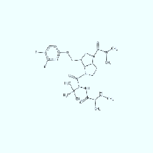 CNC(C)C(=O)NC(C(=O)N1CCC2C1C(COc1ccc(F)c(F)c1)CN2C(=O)N(C)C)C(C)(C)C